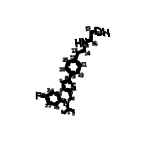 CC(C)N(Cc1ccc(-c2ccc(CCNCCO)cc2)s1)c1ccc(F)cc1